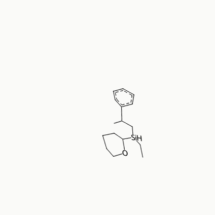 CC[SiH](CC(C)c1ccccc1)C1CCCCO1